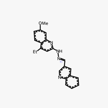 CCc1cc(N/N=C/c2cnc3ccccc3c2)nc2cc(OC)ccc12